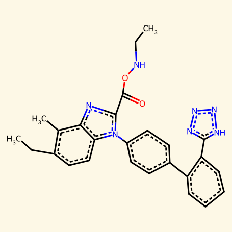 CCNOC(=O)c1nc2c(C)c(CC)ccc2n1-c1ccc(-c2ccccc2-c2nnn[nH]2)cc1